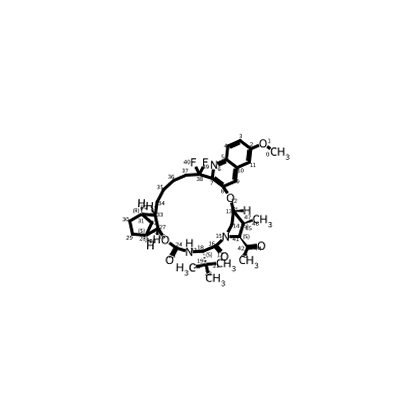 COc1ccc2nc3c(cc2c1)O[C@H]1CN(C(=O)[C@H](C(C)(C)C)NC(=O)O[C@@H]2[C@H]4CC[C@H](C4)[C@H]2CCCCC3(F)F)[C@H](C(C)=O)[C@@H]1C